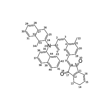 C=C(/C=C\c1cc(/C=C2\C(=O)C3=C(CCC=C3)C2=O)ccc1C)N(C1=CCC2C=CC=CC2C1C)c1cccc2ccccc12